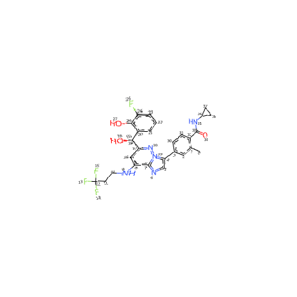 Cc1cc(-c2cnc3c(NCCC(F)(F)F)cc([C@@H](O)c4cccc(F)c4O)nn23)ccc1C(=O)NC1CC1